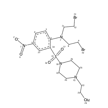 O=[N+]([O-])c1ccc(N(CCBr)CCBr)c(S(=O)(=O)N2CCN(CCO)CC2)c1